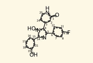 O=c1cc(-c2c(-c3ccc(F)cc3)nc(-c3cccc(O)c3)n2O)cc[nH]1